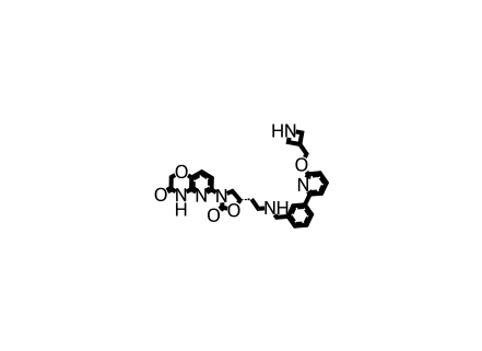 O=C1COc2ccc(N3C[C@H](CCNCc4cccc(-c5cccc(OCC6CNC6)n5)c4)OC3=O)nc2N1